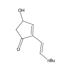 CCCCC=CC1=CC(O)CC1=O